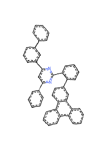 c1ccc(-c2cccc(-c3cc(-c4ccccc4)nc(-c4ccccc4-c4ccc5c6ccccc6c6ccccc6c5c4)n3)c2)cc1